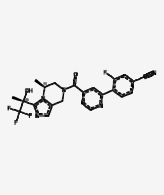 C[C@H]1CN(C(=O)c2ccnc(-c3ccc(C#N)cc3F)c2)Cc2cnc([C@@](C)(O)C(F)(F)F)n21